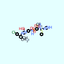 CC1(C)CCC(c2ccc(Cl)cc2)=C(CN2CCN(c3ccc(C(=O)NS(=O)(=O)c4ccc(N[C@H](CCN5CCNCC5)CSc5ccccc5)c(S(=O)(=O)C(F)(F)F)c4)cc3)[C@@H](CO)C2)C1